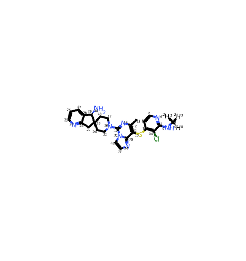 [2H]C([2H])([2H])Nc1nccc(Sc2c(C)nc(N3CCC4(CC3)Cc3ncccc3[C@H]4N)n3ccnc23)c1Cl